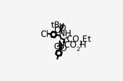 CCOC(=O)C[C@@H]1[C@@H]([C@@H](NC(=O)OC(C)(C)C)c2ccc(Cl)cc2)CN(S(=O)(=O)c2ccc(C)cc2)[C@@H]1C(=O)O